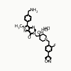 Cl.Cl.Cn1nc2c(=O)n(CC3(O)CCN(Cc4ccc(-c5cnoc5)cc4F)CC3)cnc2c1-c1ccc(CN)cc1